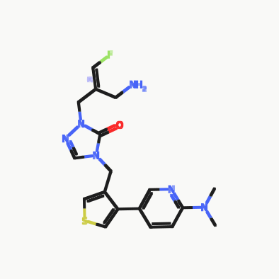 CN(C)c1ccc(-c2cscc2Cn2cnn(C/C(=C/F)CN)c2=O)cn1